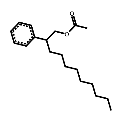 CCCCCCCCCC(COC(C)=O)c1ccccc1